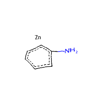 Nc1ccccc1.[Zn]